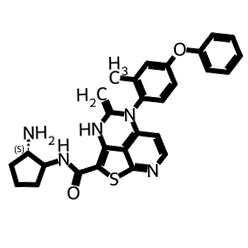 C=c1[nH]c2c(C(=O)NC3CCC[C@@H]3N)sc3nccc(c32)n1-c1ccc(Oc2ccccc2)cc1C